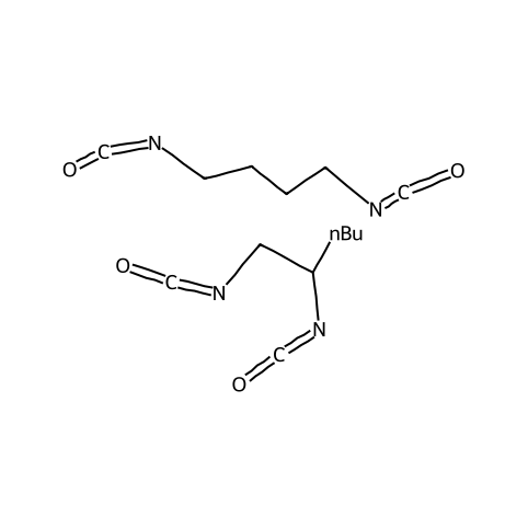 CCCCC(CN=C=O)N=C=O.O=C=NCCCCN=C=O